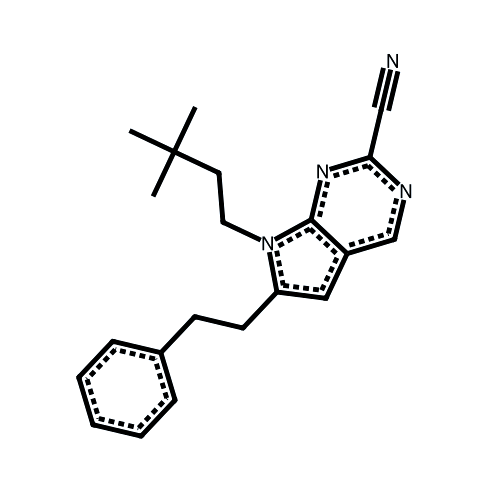 CC(C)(C)CCn1c(CCc2ccccc2)cc2cnc(C#N)nc21